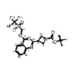 CC(C)(C)OC(=O)N1CC(c2nc(OCS(=O)(=O)C(F)(F)F)c3ccccc3n2)C1